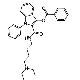 CCN(CC)CCCCNC(=O)c1c(OC(=O)c2ccccc2)c2ccccc2n1-c1ccccc1